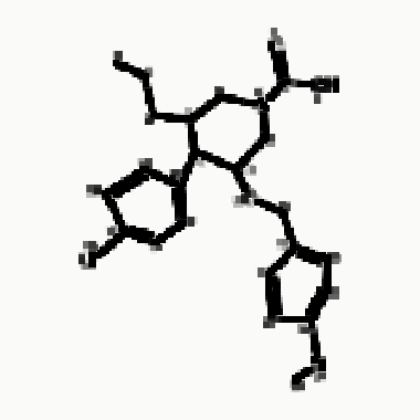 CCCC1CN(C(=O)O)CC(OCc2ccc(OC)cc2)C1c1ccc(Cl)cc1